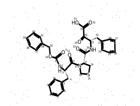 O=C(N[C@@H](Cc1ccccc1)C(=O)N1CSC[C@H]1C(=O)N[C@@H](Cc1ccccc1)C(=O)C(=O)O)OCc1ccccc1